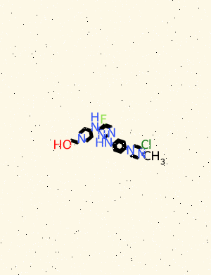 CN1CCN(c2ccc(Nc3ncc(F)c(NC4CCN(CCO)CC4)n3)cc2)CC1Cl